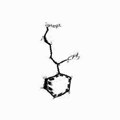 CCCCCCCCCCC(C)c1c[c]ccc1